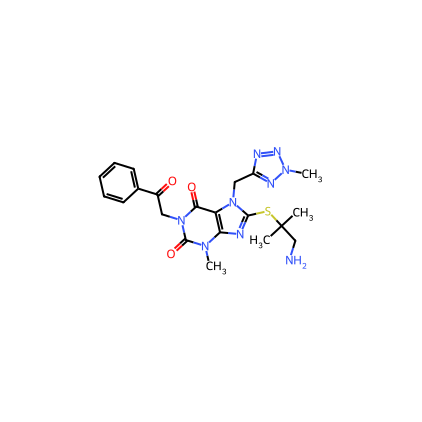 Cn1nnc(Cn2c(SC(C)(C)CN)nc3c2c(=O)n(CC(=O)c2ccccc2)c(=O)n3C)n1